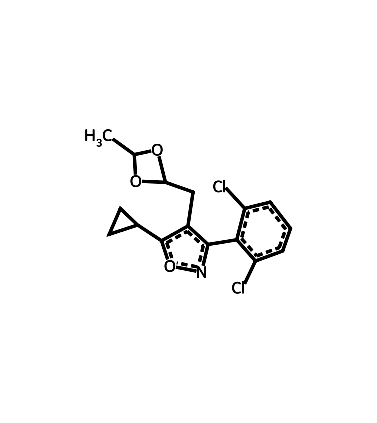 CC1OC(Cc2c(-c3c(Cl)cccc3Cl)noc2C2CC2)O1